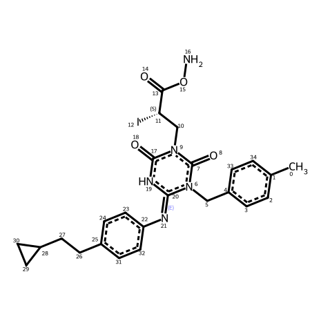 Cc1ccc(Cn2c(=O)n(C[C@H](I)C(=O)ON)c(=O)[nH]/c2=N\c2ccc(CCC3CC3)cc2)cc1